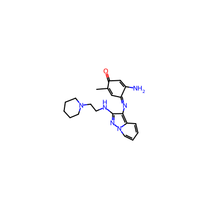 CC1=C/C(=N\c2c(NCCN3CCCCC3)nn3ccccc23)C(N)=CC1=O